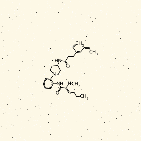 C=C/C(=C\C=C/C)CCC(=O)NC1CCN(c2ccccc2NC(=O)/C(=C/CCC)N=C)CC1